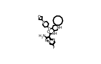 Nc1nn2cc(F)cnc2c1C(=O)NC1CNC2(CCCCCCCCC2)CC1OC1CCN(C2COC2)CC1